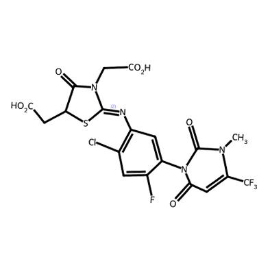 Cn1c(C(F)(F)F)cc(=O)n(-c2cc(/N=C3\SC(CC(=O)O)C(=O)N3CC(=O)O)c(Cl)cc2F)c1=O